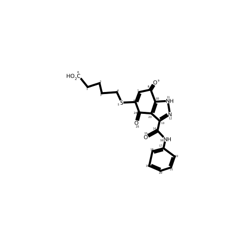 O=C(O)CCCCSC1=CC(=O)c2[nH]nc(C(=O)Nc3ccccc3)c2C1=O